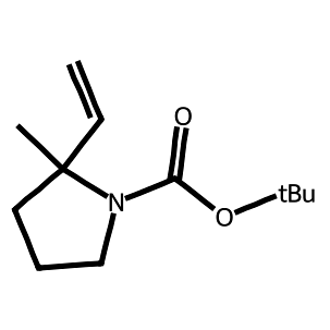 C=CC1(C)CCCN1C(=O)OC(C)(C)C